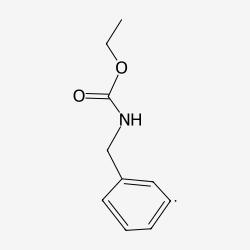 CCOC(=O)NCc1c[c]ccc1